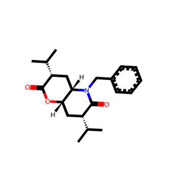 CC(C)[C@@H]1C[C@H]2[C@H](C[C@@H](C(C)C)C(=O)N2Cc2ccccc2)OC1=O